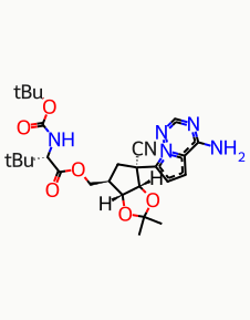 CC(C)(C)OC(=O)N[C@H](C(=O)OC[C@H]1C[C@@](C#N)(c2ccc3c(N)ncnn23)[C@@H]2OC(C)(C)O[C@H]12)C(C)(C)C